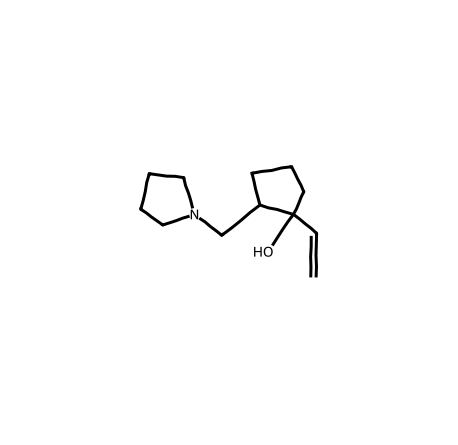 C=CC1(O)CCCC1CN1CCCC1